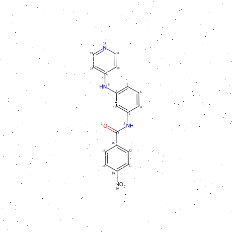 O=C(Nc1cccc(Nc2ccncc2)c1)c1ccc([N+](=O)[O-])cc1